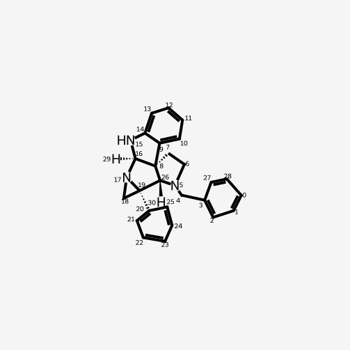 c1ccc(CN2CC[C@@]34c5ccccc5N[C@@H]3N3C[C@]3(c3ccccc3)[C@@H]24)cc1